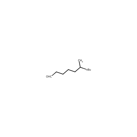 CCCCC(C)CCCCC=O